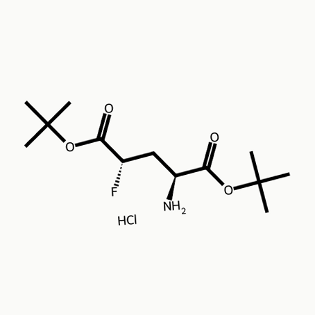 CC(C)(C)OC(=O)[C@@H](N)C[C@H](F)C(=O)OC(C)(C)C.Cl